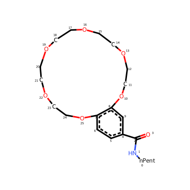 CCCCCNC(=O)c1ccc2c(c1)OCCOCCOCCOCCOCCO2